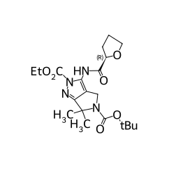 CCOC(=O)n1nc2c(c1NC(=O)[C@H]1CCCO1)CN(C(=O)OC(C)(C)C)C2(C)C